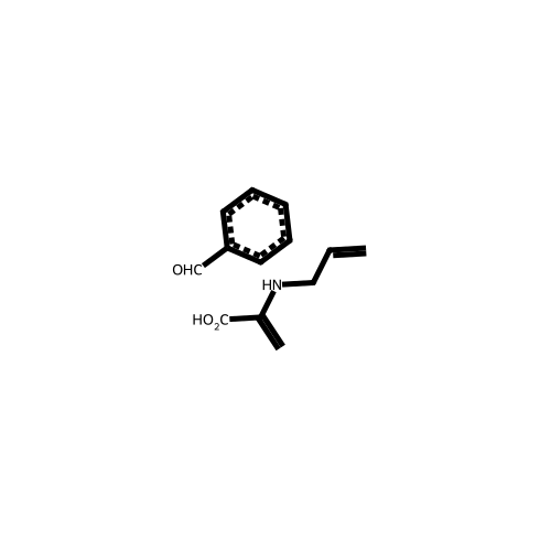 C=CCNC(=C)C(=O)O.O=Cc1ccccc1